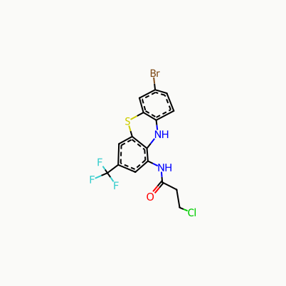 O=C(CCCl)Nc1cc(C(F)(F)F)cc2c1Nc1ccc(Br)cc1S2